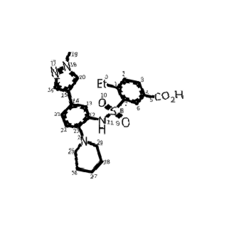 CCc1ccc(C(=O)O)cc1S(=O)(=O)Nc1cc(-c2cnn(C)c2)ccc1N1CCCCC1